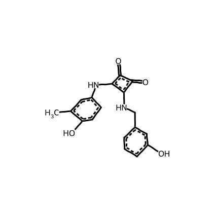 Cc1cc(Nc2c(NCc3cccc(O)c3)c(=O)c2=O)ccc1O